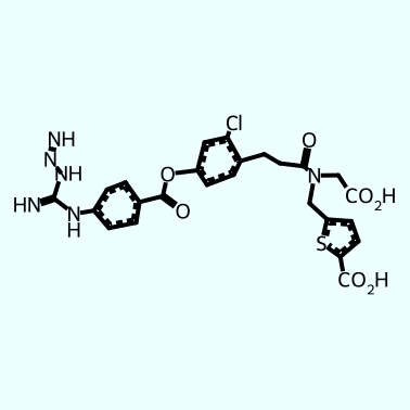 N=NNC(=N)Nc1ccc(C(=O)Oc2ccc(CCC(=O)N(CC(=O)O)Cc3ccc(C(=O)O)s3)c(Cl)c2)cc1